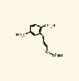 CCCCCOC=CCc1cc(C(=O)O)ccc1C(=O)O